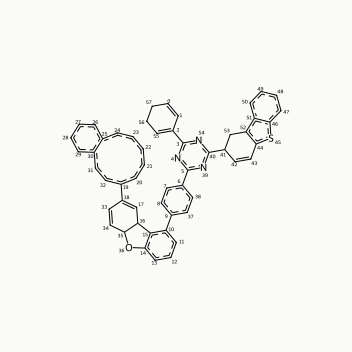 C1=CC(c2nc(-c3ccc(-c4cccc5c4C4C=C(c6cccccc7ccccc7cc6)C=CC4O5)cc3)nc(C3C=Cc4sc5ccccc5c4C3)n2)=CCC1